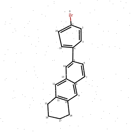 Brc1ccc(-c2ccc3cc4c(cc3c2)CCCC4)cc1